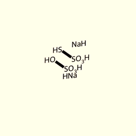 O=S(=O)(O)O.O=S(=O)(O)S.[NaH].[NaH]